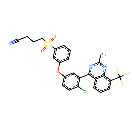 Cc1nc(-c2cc(Oc3cccc(S(=O)(=O)CCCC#N)c3)ccc2Cl)c2cccc(C(F)(F)F)c2n1